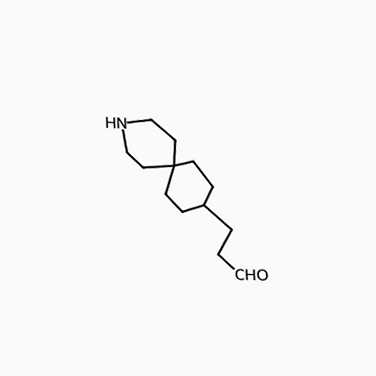 O=CCCC1CCC2(CCNCC2)CC1